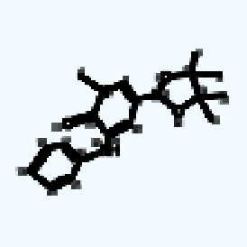 Cn1cc(B2OC(C)(C)C(C)(C)O2)cc(Nc2ccccc2)c1=O